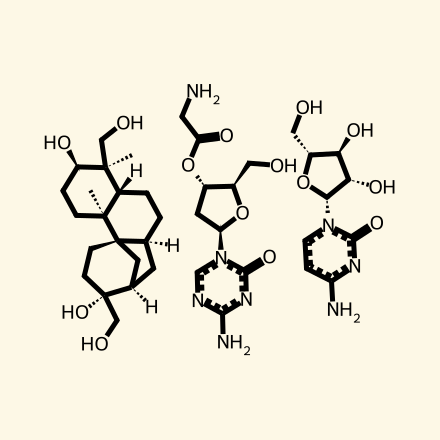 C[C@@]1(CO)[C@H](O)CC[C@@]2(C)[C@H]1CC[C@H]1C[C@@H]3C[C@@]12CC[C@]3(O)CO.NCC(=O)O[C@H]1C[C@H](n2cnc(N)nc2=O)O[C@@H]1CO.Nc1ccn([C@@H]2O[C@H](CO)[C@@H](O)[C@@H]2O)c(=O)n1